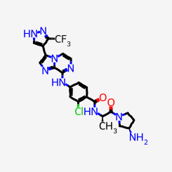 C[C@@H](NC(=O)c1ccc(Nc2nccn3c(-c4c[nH]nc4C(F)(F)F)cnc23)cc1Cl)C(=O)N1CC[C@@H](N)C1